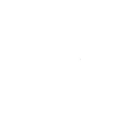 Cc1cc(C)c(C(C)Br)c(C)c1